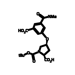 CNC(=O)c1cc(O[C@H]2C[C@@H](C(=O)O)N(C(=O)OC(C)(C)C)C2)cc(C(=O)O)c1